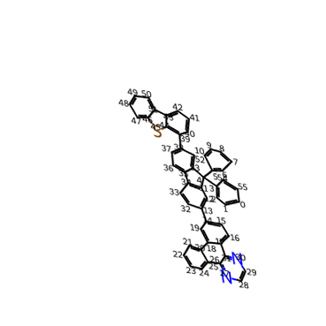 c1ccc(C2(c3ccccc3)c3cc(-c4ccc5c(c4)c4ccccc4c4nccnc54)ccc3-c3ccc(-c4cccc5c4sc4ccccc45)cc32)cc1